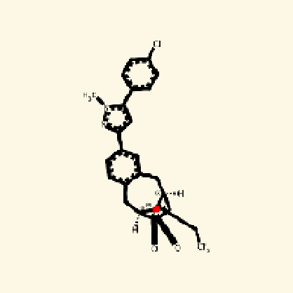 Cn1nc(-c2ccc3c(c2)C[C@H]2CC[C@@H](C3)[C@]23CN(CC(F)(F)F)S(=O)(=O)N3)cc1-c1ccc(Cl)cc1